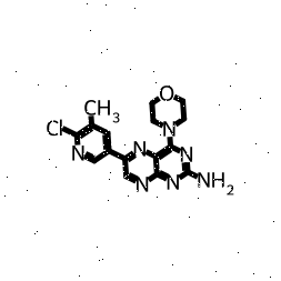 Cc1cc(-c2cnc3nc(N)nc(N4CCOCC4)c3n2)cnc1Cl